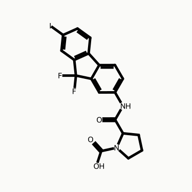 O=C(Nc1ccc2c(c1)C(F)(F)c1cc(I)ccc1-2)C1CCCN1C(=O)O